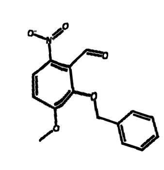 COc1ccc([N+](=O)[O-])c(C=O)c1OCc1ccccc1